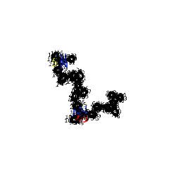 c1ccc(-c2nc(-c3cccc(-c4cccc(-c5ccc6c(c5)-c5cc7c(cc5C65CCCCC5)-c5ccccc5C75CCCC(c6ccc(-c7nc(-c8cccc(-c9cccc(-c%10ccc%11c(c%10)-c%10cc%12c(cc%10C%11%10CCCCC%10)-c%10ccccc%10C%12%10CCCCC%10)c9)c8)c8oc9ccccc9c8n7)cc6)C5)c4)c3)c3sc4ccccc4c3n2)cc1